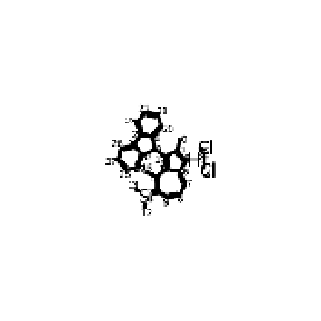 CC1=[C]([Hf]([Cl])[Cl])C2=CC=CC(=[Si](C)C)C(C)C2=C1C1c2ccccc2-c2ccccc21